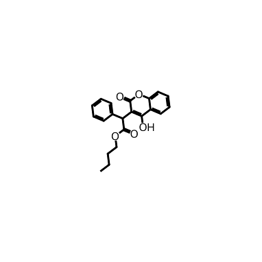 CCCCOC(=O)C(c1ccccc1)c1c(O)c2ccccc2oc1=O